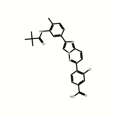 Cc1ccc(-c2cn3nc(-c4ccc(C(=O)O)cc4Cl)ccc3n2)cc1NC(=O)C(C)(C)C